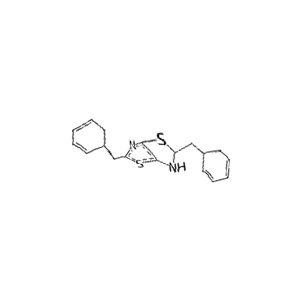 C1=CCC(Cc2nc3c(s2)NC(CC2C=CC=CC2)S3)C=C1